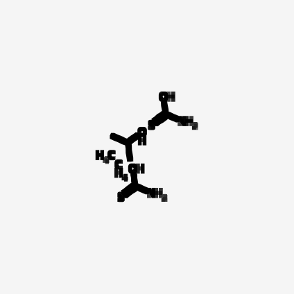 C.C.CC(C)O.NC(O)=S.NC(O)=S